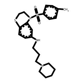 Cc1ccc(S(=O)(=O)N2CCSc3ccc(NCCCN4CCCCC4)cc32)cc1